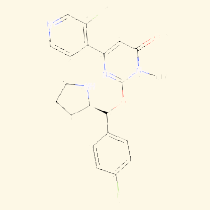 Cn1c(OC(c2ccc(F)cc2)[C@H]2CCCN2)nc(-c2ccncc2F)cc1=O